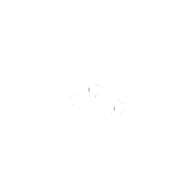 O=[N+]([O-])c1ccc(SCc2ccccc2)cc1N1CCC2(CC1)CC2